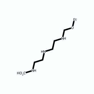 CCOCNCCNCCNC(=O)O